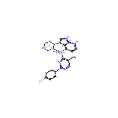 CC(C)c1cnc(-c2ccc(F)cc2)nc1Nc1ccnc2[nH]cc(C3CCNCC3C)c12